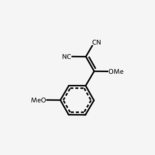 COC(=C(C#N)C#N)c1cccc(OC)c1